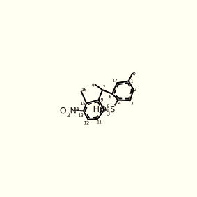 Cc1ccc(S(=O)(=O)O)c(C(C)c2cccc([N+](=O)[O-])c2C)c1